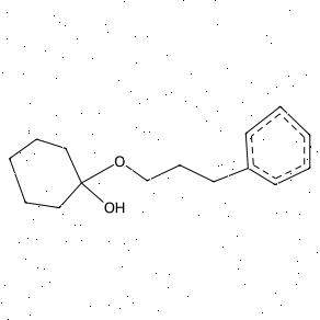 OC1(OCCCc2ccccc2)CCCCC1